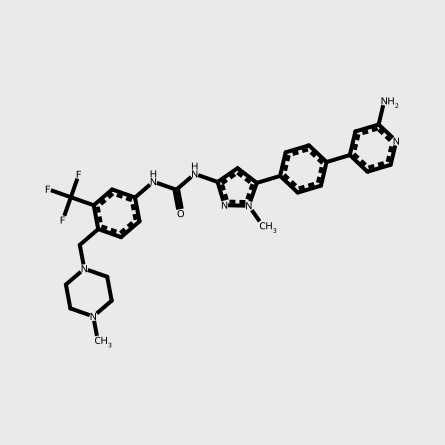 CN1CCN(Cc2ccc(NC(=O)Nc3cc(-c4ccc(-c5ccnc(N)c5)cc4)n(C)n3)cc2C(F)(F)F)CC1